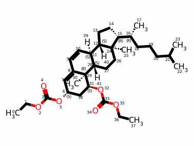 CCOC(=O)O[C@@H]1C=C2C=C[C@H]3[C@@H]4CC[C@H]([C@H](C)CCCC(C)C)[C@@]4(C)CC[C@@H]3[C@@]2(C)[C@@H](OC(=O)OCC)C1